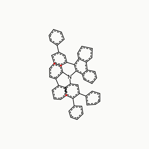 c1ccc(-c2cccc(-c3c(N(c4ccc(-c5ccccc5)c(-c5ccccc5)c4)c4ccccc4-c4ccccc4)c4ccccc4c4ccccc34)c2)cc1